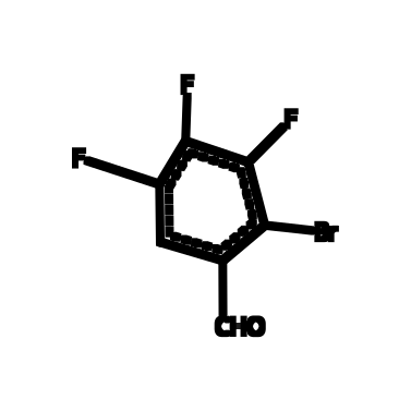 O=Cc1cc(F)c(F)c(F)c1Br